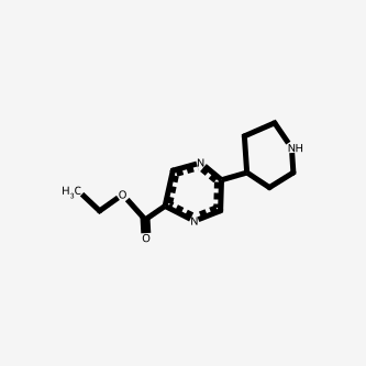 CCOC(=O)c1cnc(C2CCNCC2)cn1